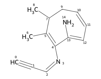 C#C\C=N/C1=C(\C)C(C)C/C=C\C=C\1N